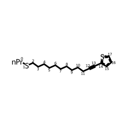 CCCSCCCCCCCCCCC#Cc1cccs1